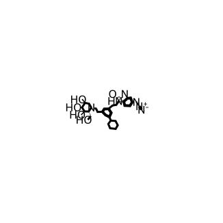 [N-]=[N+]=Nc1ccc(NCCc2cc(CCN3C[C@H](O)[C@@H](O)[C@H](O)[C@H]3CO)cc(C3CCCCC3)c2)c([N+](=O)[O-])c1